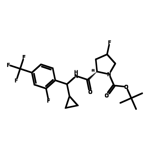 CC(C)(C)OC(=O)N1CC(F)C[C@H]1C(=O)NC(c1ccc(C(F)(F)F)cc1F)C1CC1